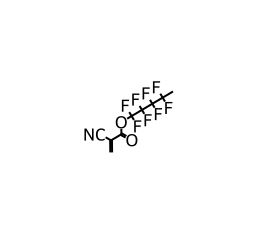 C=C(C#N)C(=O)OC(F)(F)C(F)(F)C(F)(F)C(C)(F)F